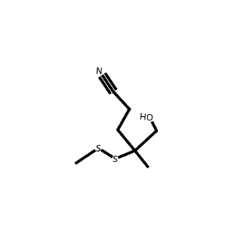 CSSC(C)(CO)CCC#N